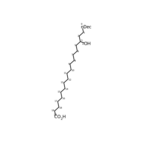 CCCCCCCCCCCCC(O)CCCCCCCCCCCCCCCC(=O)O